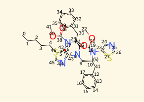 CCCCCCCCN(C[C@H](Cc1ccccc1)N(C(=O)OC)c1cncs1)C[C@H](Cc1ccccc1)N(C(=O)OC)c1cncs1